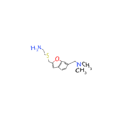 CN(C)Cc1ccc2cc(CSCCN)oc2c1